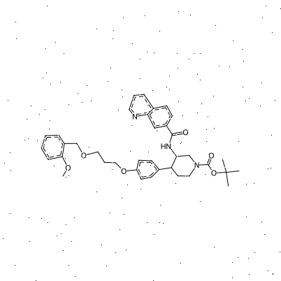 COc1ccccc1COCCCOc1ccc(C2CCN(C(=O)OC(C)(C)C)CC2NC(=O)c2ccc3cccnc3c2)cc1